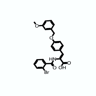 COc1cccc(COc2ccc(/C=C(\NC(=O)c3ccccc3Br)C(=O)O)cc2)c1